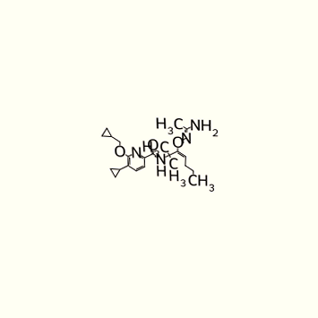 CCC/C=C(/O/N=C(\C)N)C(C)(C)NC(=O)c1ccc(C2CC2)c(OCC2CC2)n1